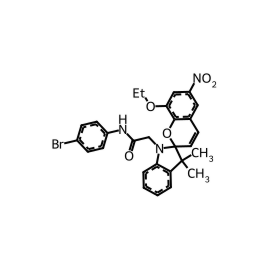 CCOc1cc([N+](=O)[O-])cc2c1OC1(C=C2)N(CC(=O)Nc2ccc(Br)cc2)c2ccccc2C1(C)C